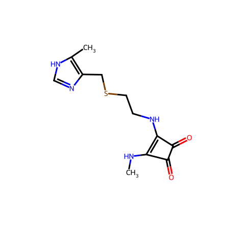 CNc1c(NCCSCc2nc[nH]c2C)c(=O)c1=O